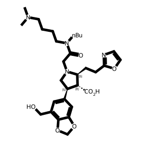 CCCCN(CCCCN(C)C)C(=O)CN1C[C@H](c2cc(CO)c3c(c2)OCO3)[C@@H](C(=O)O)[C@@H]1CCc1ncco1